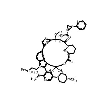 CCO[C@@H]1c2nc(cs2)-c2ccc3c(c2)c(c(-c2cc(N4CCN(C)CC4)cnc2[C@H](C)OC)n3CCOC(C)C)CC(C)(C)COC(=O)[C@@H]2CCCN(N2)C(=O)[C@H]1NC(=O)[C@@H]1C[C@H]1c1ccccn1